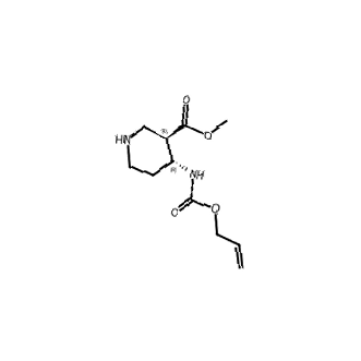 C=CCOC(=O)N[C@@H]1CCNC[C@H]1C(=O)OC